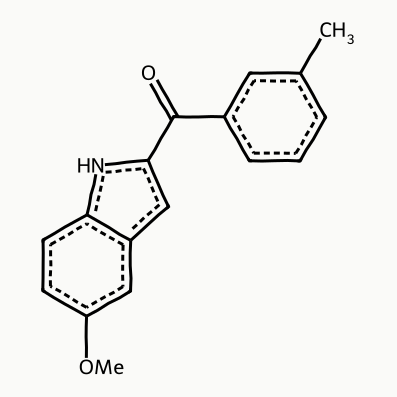 COc1ccc2[nH]c(C(=O)c3cccc(C)c3)cc2c1